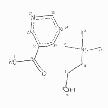 C[N+](C)(C)CCO.O=C(O)c1cncnc1